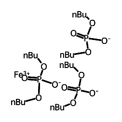 CCCCOP(=O)([O-])OCCCC.CCCCOP(=O)([O-])OCCCC.CCCCOP(=O)([O-])OCCCC.[Fe+3]